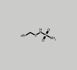 CCCCSNS(N)(=O)=O